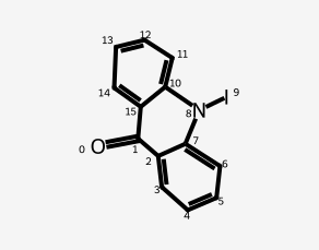 O=c1c2ccccc2n(I)c2ccccc12